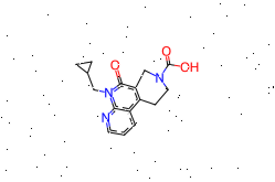 O=C(O)N1CCc2c(c(=O)n(CC3CC3)c3ncccc23)C1